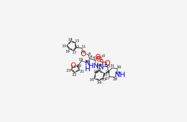 CS(=O)(=O)[N+]1(NC(=O)C(COCc2ccccc2)NCc2ccco2)CC2(CCNCC2)c2ccccc21